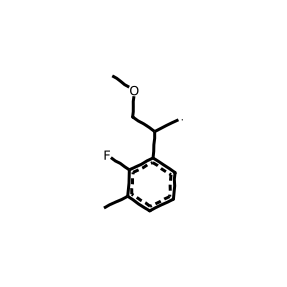 [CH2]C(COC)c1cccc(C)c1F